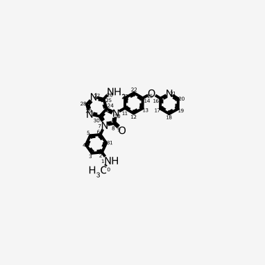 CNc1cccc(-n2c(=O)n(-c3ccc(Oc4ccccn4)cc3)c3c(N)ncnc32)c1